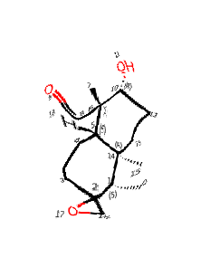 C[C@@H]1C2(CC[C@@H]3[C@](C)(C=O)[C@H](O)CC[C@@]13C)CO2